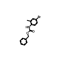 Cc1cc(Br)ccc1NC(=O)OCc1ccccc1